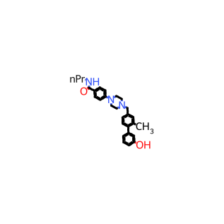 CCCNC(=O)c1ccc(N2CCN(Cc3ccc(-c4cccc(O)c4)c(C)c3)CC2)cc1